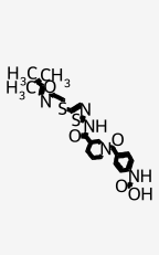 CC(C)(C)c1cnc(CSc2cnc(NC(=O)C3CCCN(C(=O)c4ccc(NC(=O)O)cc4)C3)s2)o1